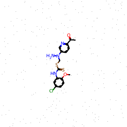 COc1ccc(Cl)cc1NC(=S)SCN(N)c1ccc(C(C)=O)nc1